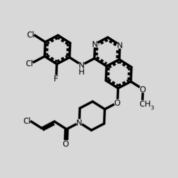 COc1cc2ncnc(Nc3ccc(Cl)c(Cl)c3F)c2cc1OC1CCN(C(=O)C=CCl)CC1